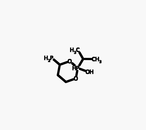 CC(C)[PH]1(O)OCCC(P)O1